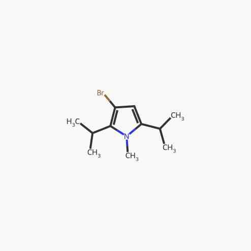 CC(C)c1cc(Br)c(C(C)C)n1C